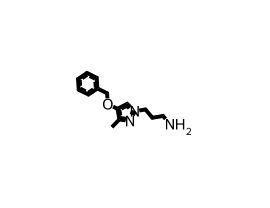 Cc1nn(CCCN)cc1OCc1ccccc1